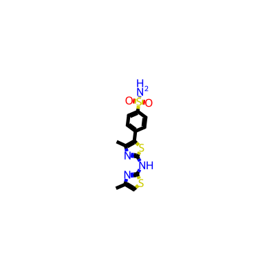 Cc1csc(Nc2nc(C)c(-c3ccc(S(N)(=O)=O)cc3)s2)n1